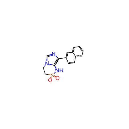 O=S1(=O)CCn2cnc(-c3ccc4ccccc4c3)c2N1